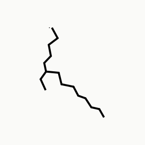 [CH2]CCCCC(CC)CCCCCCCC